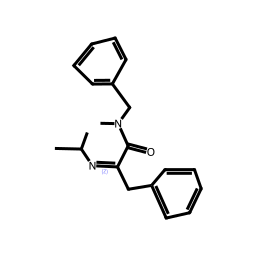 CC(C)/N=C(/Cc1ccccc1)C(=O)N(C)Cc1ccccc1